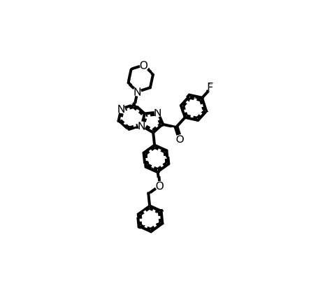 O=C(c1ccc(F)cc1)c1nc2c(N3CCOCC3)nccn2c1-c1ccc(OCc2ccccc2)cc1